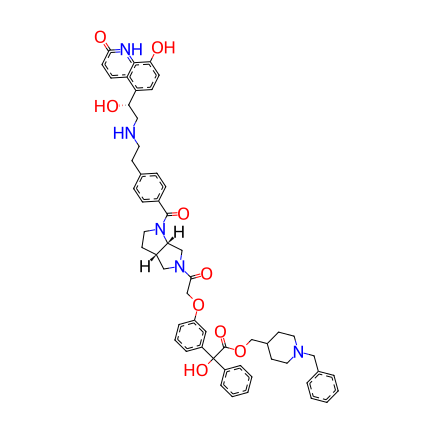 O=C(COc1cccc(C(O)(C(=O)OCC2CCN(Cc3ccccc3)CC2)c2ccccc2)c1)N1C[C@@H]2CCN(C(=O)c3ccc(CCNC[C@H](O)c4ccc(O)c5[nH]c(=O)ccc45)cc3)[C@@H]2C1